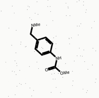 CNCc1ccc(NC(=O)OC)cc1